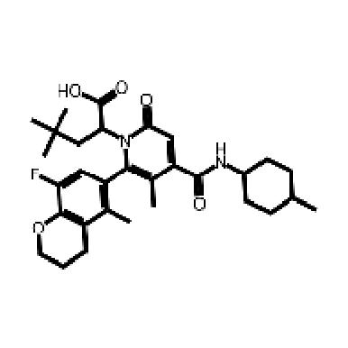 Cc1c(-c2c(C)c(C(=O)NC3CCC(C)CC3)cc(=O)n2C(CC(C)(C)C)C(=O)O)cc(F)c2c1CCCO2